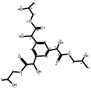 CC(O)COC(=O)C(O)c1cc(C(O)C(=O)OCC(C)O)cc(C(O)C(=O)OCC(C)O)c1